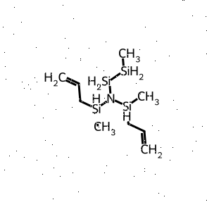 C=CC[SiH](C)N([SiH2][SiH2]C)[SiH](C)CC=C